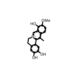 COc1ccc2c(C)c3[n+](cc2c1O)CCc1cc(O)c(O)cc1-3